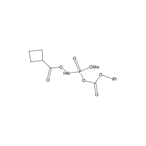 COP(=O)(NOC(=O)C1CCC1)OC(=O)OC(C)C